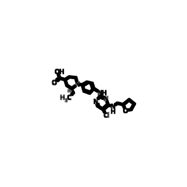 CC[C@H]1CC(C(=O)O)CCN1c1ccc(Nc2ncc(Cl)c(NCC3CCCO3)n2)cc1